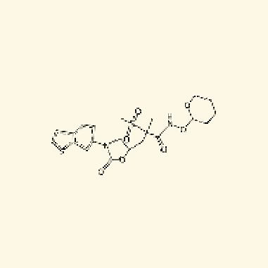 CC(CC1CN(c2ccc3ccsc3c2)C(=O)O1)(C(=O)NOC1CCCCO1)S(C)(=O)=O